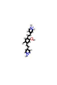 COc1cc(/C=C/c2cc[n+](C)cc2)c(C)cc1/C=C/c1cc[n+](C)cc1